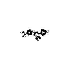 CSN(C=S)c1ccc(OC(CCc2ccc(Cl)cc2)Cn2ccnc2)cc1